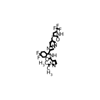 CC(C)n1nccc1C(=O)N[C@H](c1cn2ncc(C[C@H]3C[C@@H](C(F)(F)F)NC3=O)cc2n1)C1CCC(F)(F)CC1